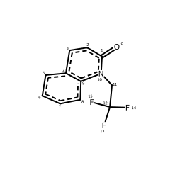 O=c1ccc2ccccc2n1CC(F)(F)F